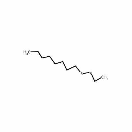 CCCCCCCCSSCC